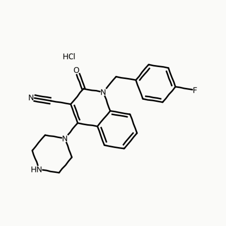 Cl.N#Cc1c(N2CCNCC2)c2ccccc2n(Cc2ccc(F)cc2)c1=O